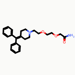 NC(=O)COCCOCCN1CCC(=C(c2ccccc2)c2ccccc2)CC1